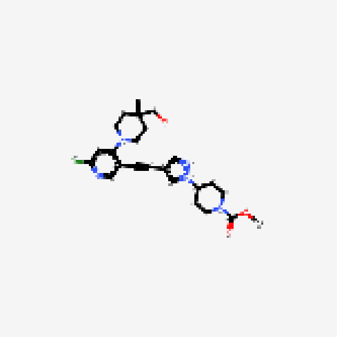 CC1(CO)CCN(c2cc(Cl)ncc2C#Cc2cnn(C3CCN(C(=O)OC(C)(C)C)CC3)c2)CC1